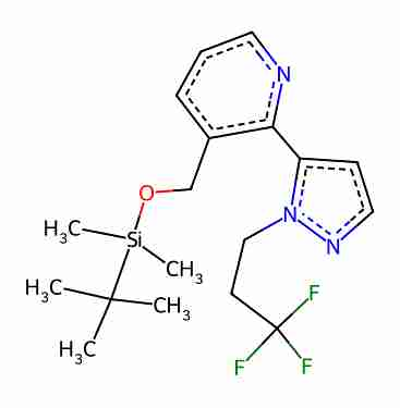 CC(C)(C)[Si](C)(C)OCc1cccnc1-c1ccnn1CCC(F)(F)F